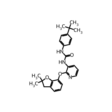 CC1(C)Cc2cccc(Oc3ncccc3NC(=O)Nc3ccc(C(C)(C)C)cc3)c2O1